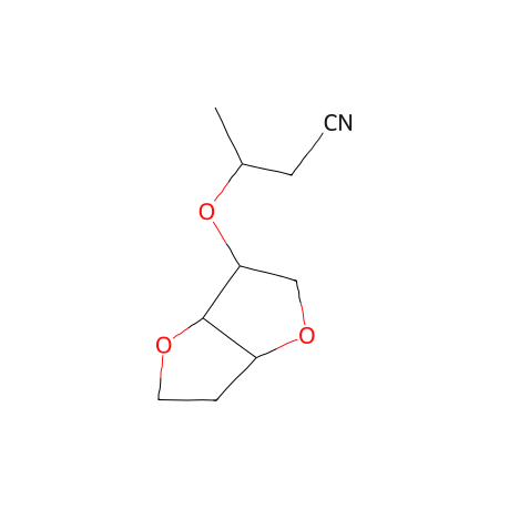 CC(CC#N)OC1COC2CCOC21